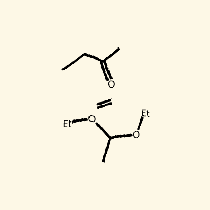 C=C.CCC(C)=O.CCOC(C)OCC